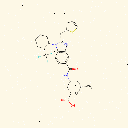 CC(C)CC(CCC(=O)O)NC(=O)c1ccc2c(c1)nc(Cc1cccs1)n2C1CCCCC1C(F)(F)F